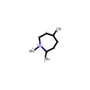 CC(C)(C)C1CCC(C#N)CCN1C(C)(C)C